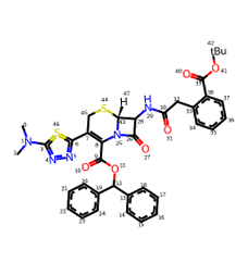 CN(C)c1nnc(C2=C(C(=O)OC(c3ccccc3)c3ccccc3)N3C(=O)C(NC(=O)Cc4ccccc4C(=O)OC(C)(C)C)[C@H]3SC2)s1